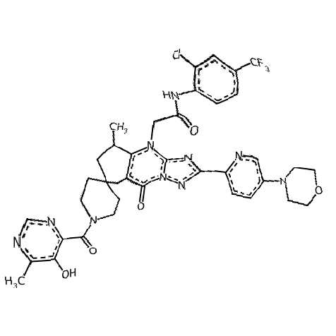 Cc1ncnc(C(=O)N2CCC3(CC2)CC(C)c2c3c(=O)n3nc(-c4ccc(N5CCOCC5)cn4)nc3n2CC(=O)Nc2ccc(C(F)(F)F)cc2Cl)c1O